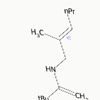 C=C(NC/C(C)=C/CCC)C(C)(C)C